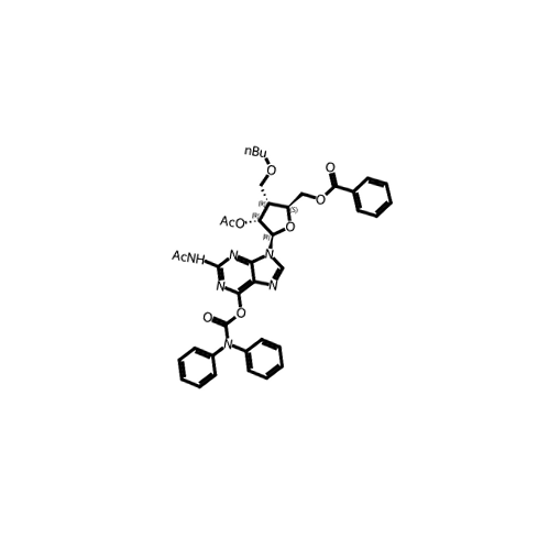 CCCCOC[C@H]1[C@@H](OC(C)=O)[C@H](n2cnc3c(OC(=O)N(c4ccccc4)c4ccccc4)nc(NC(C)=O)nc32)O[C@@H]1COC(=O)c1ccccc1